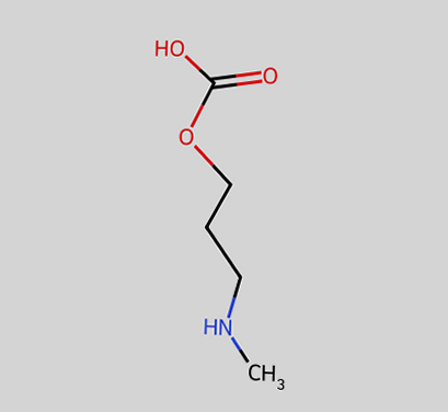 CNCCCOC(=O)O